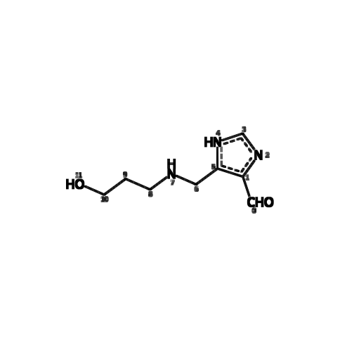 O=Cc1nc[nH]c1CNCCCO